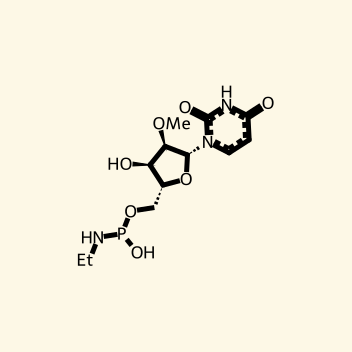 CCNP(O)OC[C@H]1O[C@@H](n2ccc(=O)[nH]c2=O)[C@H](OC)[C@@H]1O